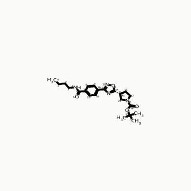 CCCCNC(=O)c1ccc(-c2noc([C@@H]3CCN(C(=O)OC(C)(C)C)C3)n2)cc1